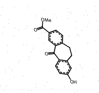 COC(=O)c1ccc2c(c1)C(=O)c1ccc(O)cc1CC2